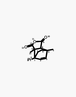 CC(C)C12C=CC(C)(CC1)C1C(=O)OC(=O)C12C